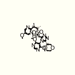 COc1cnc([C@@H](C)[C@H](C)S(=O)(=O)Nc2nnc([C@@H]3COCCO3)n2-c2c(OC)ncnc2OC)nc1